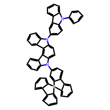 c1ccc(-n2c3ccccc3c3cc(-n4c5ccccc5c5c6c7ccccc7n(-c7ccc8c(c7)[Si]7(c9ccccc9-c9ccccc97)c7ccccc7-8)c6ccc54)ccc32)cc1